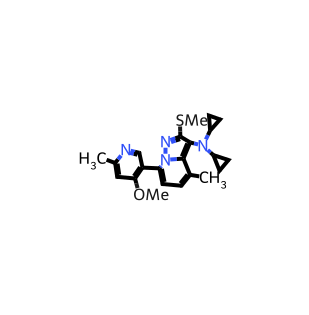 COc1cc(C)ncc1-c1ccc(C)c2c(N(C3CC3)C3CC3)c(SC)nn12